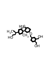 CCC(CCO)c1cc(C)c(-c2cc(OCc3ccc(CO)c(CO)c3)ccc2C)c(C)c1